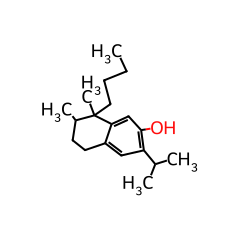 CCCCC1(C)c2cc(O)c(C(C)C)cc2CCC1C